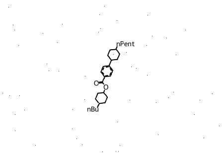 CCCCCC1CCC(c2ccc(C(=O)OC3CCC(CCCC)CC3)cc2)CC1